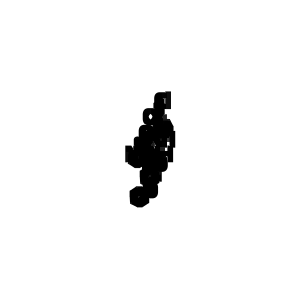 O=C(N[C@@H]1CCCN(C(=O)CCCl)C1)c1sc2nccc3c2c1NC(=O)N3c1ccc(Oc2ccccc2)cn1